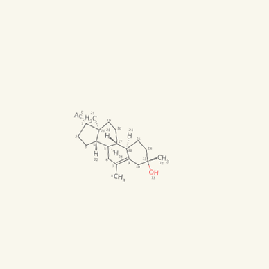 CC(=O)[C@H]1CC[C@H]2[C@@H]3CC(C)=C4C[C@@](C)(O)CC[C@@H]4[C@H]3CC[C@]12C